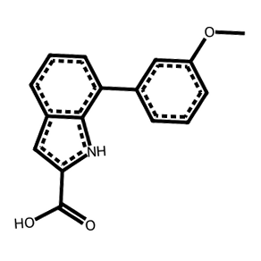 COc1cccc(-c2cccc3cc(C(=O)O)[nH]c23)c1